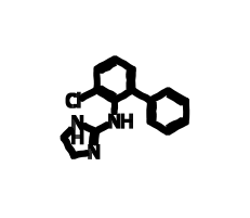 Clc1cccc(-c2ccccc2)c1NC1=NCCN1